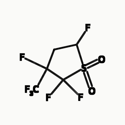 O=S1(=O)C(F)CC(F)(C(F)(F)F)C1(F)F